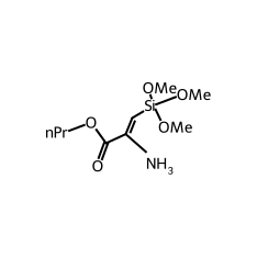 CCCOC(=O)C(C)=C[Si](OC)(OC)OC.N